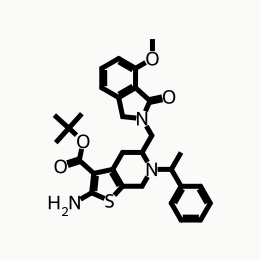 COc1cccc2c1C(=O)N(CC1Cc3c(sc(N)c3C(=O)OC(C)(C)C)CN1C(C)c1ccccc1)C2